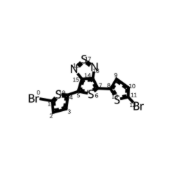 Brc1ccc(-c2sc(-c3ccc(Br)s3)c3c2N=S=N3)s1